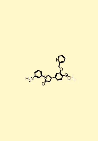 COc1ccc([C@H]2CC(=O)N(c3cccc(N)c3)C2)cc1OCc1ccccn1